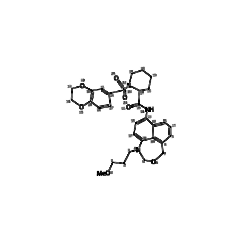 COCCCN1COCc2cccc3c(NC(=O)C4CCCCN4S(=O)(=O)c4ccc5c(c4)OCCO5)ccc1c23